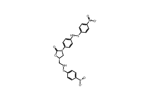 O=C1O[C@H](CNSc2ccc([N+](=O)[O-])cc2)CN1c1ccc(NSc2ccc([N+](=O)[O-])cc2)cc1